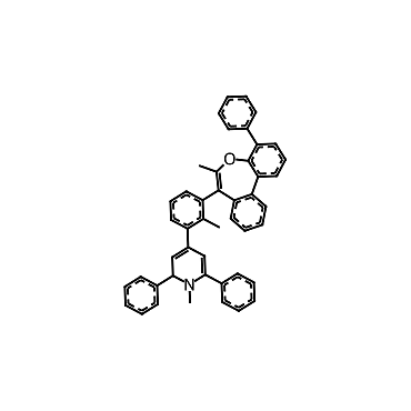 CC1=C(c2cccc(C3=CC(c4ccccc4)N(C)C(c4ccccc4)=C3)c2C)c2ccccc2-c2cccc(-c3ccccc3)c2O1